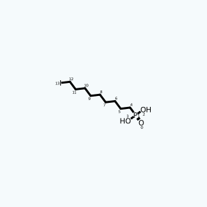 O=P(O)(O)CCCCCCCCCI